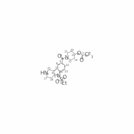 CCS(=O)(=O)n1c2c(c3cc(C(=O)N4CCC(OC(=O)C(F)(F)F)CC4)ccc31)CNCC2